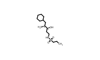 CCCS(=O)(=O)NCC[C@H](O)[C@@H](N)CC1CCCCC1